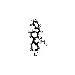 Cc1cc(Cl)ccc1C1=CC=C2C(=Cc3ccccc32)C1=O